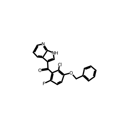 O=C(c1c(F)ccc(OCc2ccccc2)c1Cl)c1c[nH]c2ncccc12